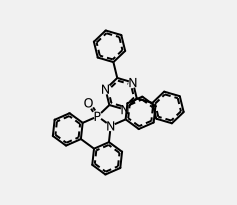 O=P1(c2nc(-c3ccccc3)nc(-c3ccccc3)n2)c2ccccc2-c2ccccc2N1c1ccccc1